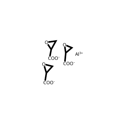 O=C([O-])C1CO1.O=C([O-])C1CO1.O=C([O-])C1CO1.[Al+3]